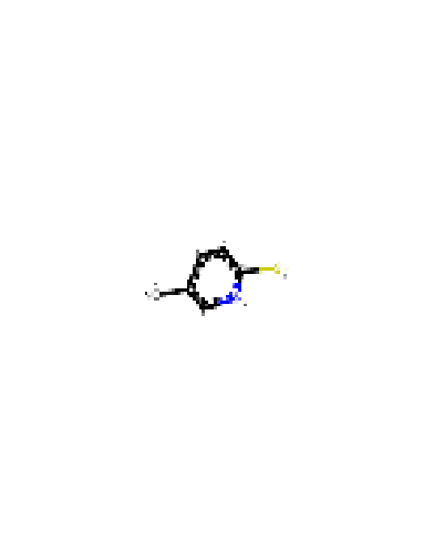 N#Cc1ccc(S)nc1